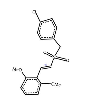 COc1cccc(OC)c1/C=C/S(=O)(=O)Cc1ccc(Cl)cc1